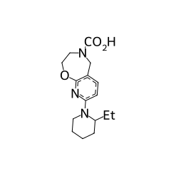 CCC1CCCCN1c1ccc2c(n1)OCCN(C(=O)O)C2